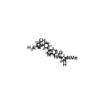 CN[C@H]1C[C@H](NC(=O)c2ccn3c(-c4cccc(-n5nc(C)cc5C)c4)cnc3c2)CN1